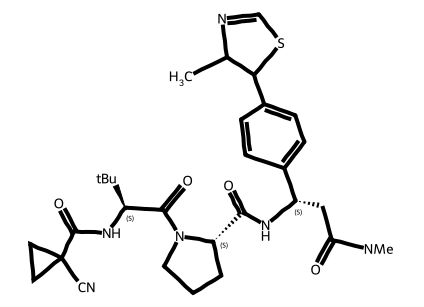 CNC(=O)C[C@H](NC(=O)[C@@H]1CCCN1C(=O)[C@@H](NC(=O)C1(C#N)CC1)C(C)(C)C)c1ccc(C2SC=NC2C)cc1